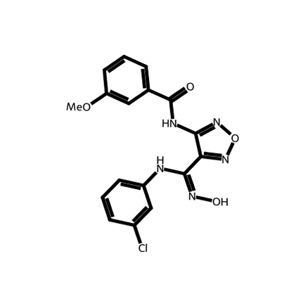 COc1cccc(C(=O)Nc2nonc2/C(=N\O)Nc2cccc(Cl)c2)c1